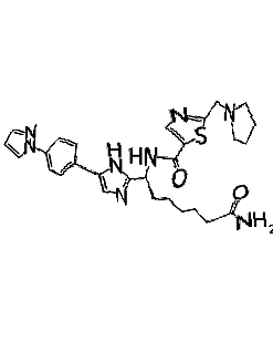 NC(=O)CCCCC[C@H](NC(=O)c1cnc(CN2CCCC2)s1)c1ncc(-c2ccc(-n3cccn3)cc2)[nH]1